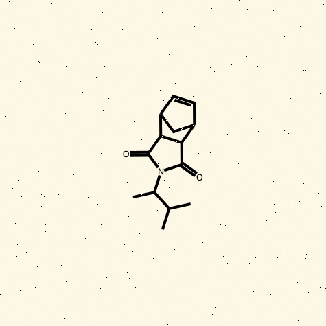 CC(C)C(C)N1C(=O)C2C3C=CC(C3)C2C1=O